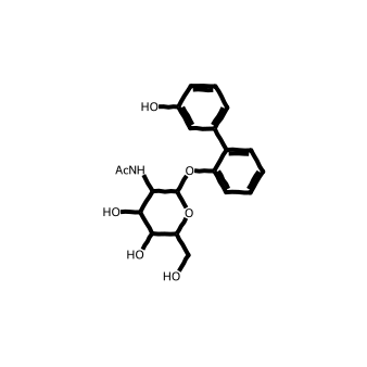 CC(=O)NC1C(Oc2ccccc2-c2cccc(O)c2)OC(CO)C(O)C1O